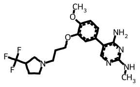 CNc1ncc(-c2ccc(OC)c(OCCCN3CCC(C(F)(F)F)C3)c2)c(N)n1